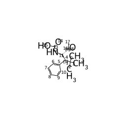 CC(C)(C)[C@@H](c1ccccc1)C(NC(=O)O)[C@@H]1CO1